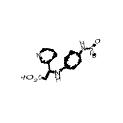 O=C(O)C=C(Nc1ccc(N[SH](=O)=O)cc1)c1cccnc1